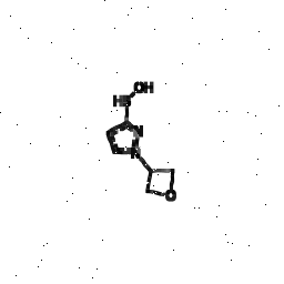 OBc1ccn(C2COC2)n1